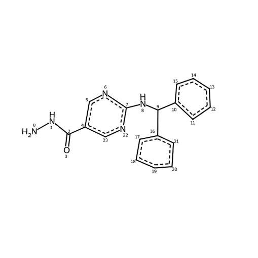 NNC(=O)c1cnc(NC(c2ccccc2)c2ccccc2)nc1